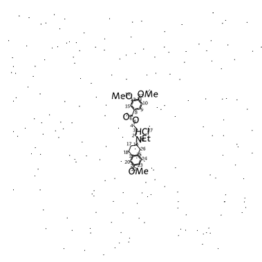 CCN(CCCOC(=O)c1ccc(OC)c(OC)c1)C1CCc2cc(OC)ccc2C1.Cl